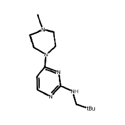 CN1CCN(c2ccnc(NCC(C)(C)C)n2)CC1